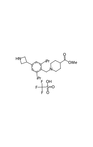 COC(=O)C1CCN(Cc2c(C(C)C)cc(C3CNC3)cc2C(C)C)CC1.O=S(=O)(O)C(F)(F)F